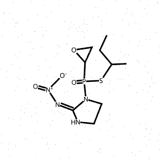 CCC(C)SP(=O)(C1CO1)N1CCN/C1=N/[N+](=O)[O-]